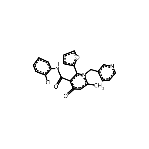 Cc1cc(=O)c(C(=O)Nc2ccccc2Cl)c(-c2ccco2)n1Cc1cccnc1